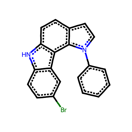 Brc1ccc2[nH]c3ccc4ccn(-c5ccccc5)c4c3c2c1